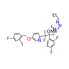 CC/C=N/N=C\N(I)CC(OC)(c1ccc(F)cc1F)C(F)(I)c1ccc(OCc2ccc(F)cc2I)cn1